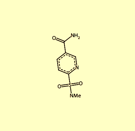 CNS(=O)(=O)c1ccc(C(N)=O)cn1